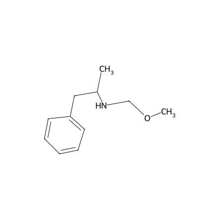 COCNC(C)Cc1ccccc1